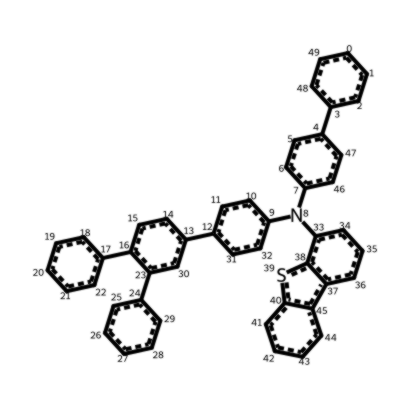 c1ccc(-c2ccc(N(c3ccc(-c4ccc(-c5ccccc5)c(-c5ccccc5)c4)cc3)c3cccc4c3sc3ccccc34)cc2)cc1